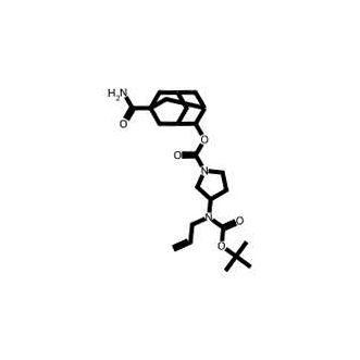 C=CCN(C(=O)OC(C)(C)C)C1CCN(C(=O)OC2C3CC4CC2CC(C(N)=O)(C4)C3)C1